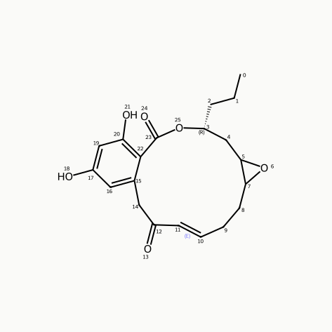 CCC[C@@H]1CC2OC2CC/C=C/C(=O)Cc2cc(O)cc(O)c2C(=O)O1